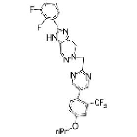 CCCOc1ccc(-c2cnc(CN3Cc4nc(-c5cccc(F)c5F)[nH]c4C=N3)nc2)c(C(F)(F)F)c1